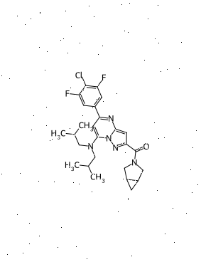 CC(C)CN(CC(C)C)c1cc(-c2cc(F)c(Cl)c(F)c2)nc2cc(C(=O)N3CC4CC4C3)nn12